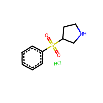 Cl.O=S(=O)(c1ccccc1)C1CCNC1